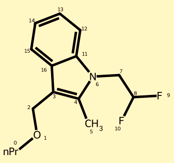 CCCOCc1c(C)n(CC(F)F)c2ccccc12